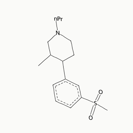 CCCN1CCC(c2cccc(S(C)(=O)=O)c2)C(C)C1